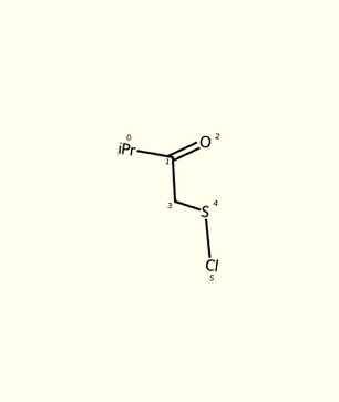 CC(C)C(=O)CSCl